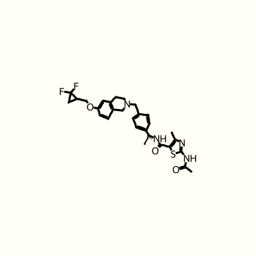 CC(=O)Nc1nc(C)c(C(=O)N[C@@H](C)c2ccc(CN3CCc4cc(OCC5CC5(F)F)ccc4C3)cc2)s1